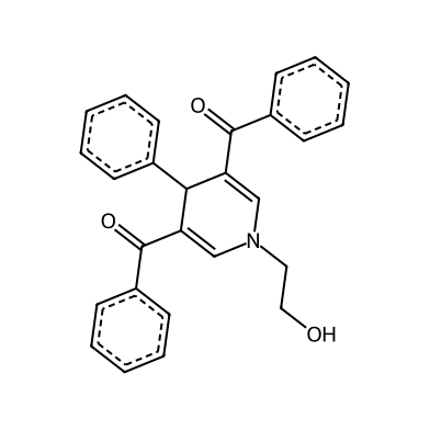 O=C(C1=CN(CCO)C=C(C(=O)c2ccccc2)C1c1ccccc1)c1ccccc1